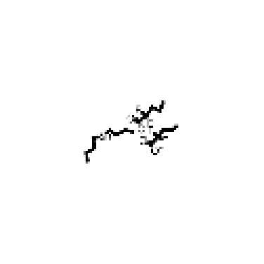 CCCC(F)(F)C(=O)[O-].CCCC(F)(F)C(=O)[O-].CCC[CH2][Sn+2][CH2]CCC